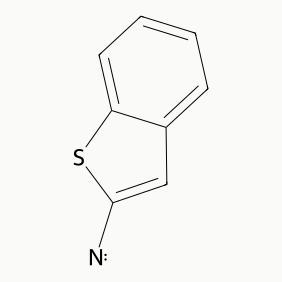 [N]c1cc2ccccc2s1